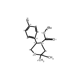 CC(C)(C)OC(=O)N1CC(C)(C)OCC1c1ccc(Br)cc1